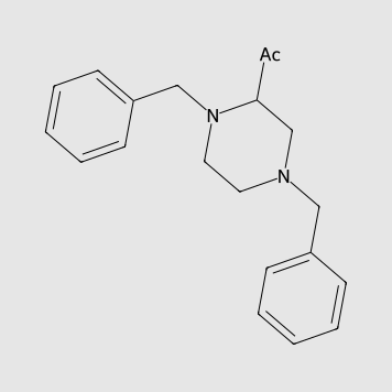 CC(=O)C1CN(Cc2ccccc2)CCN1Cc1ccccc1